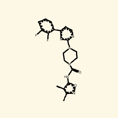 Cc1noc(NC(=O)N2CCN(c3nccc(-c4cccc(F)c4F)n3)CC2)c1C